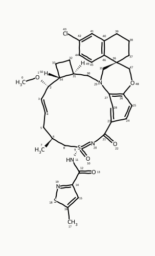 CO[C@H]1/C=C/C[C@H](C)C[S@@](=O)(NC(=O)c2cc(C)sn2)=NC(=O)c2ccc3c(c2)N(C[C@@H]2CC[C@H]21)C[C@@]1(CCCc2cc(Cl)ccc21)CO3